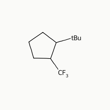 CC(C)(C)C1CCCC1C(F)(F)F